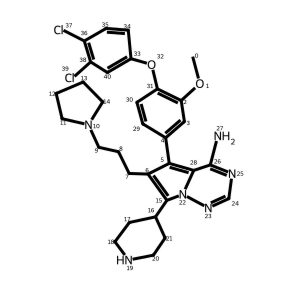 COc1cc(-c2c(CCCN3CCCC3)c(C3CCNCC3)n3ncnc(N)c23)ccc1Oc1ccc(Cl)c(Cl)c1